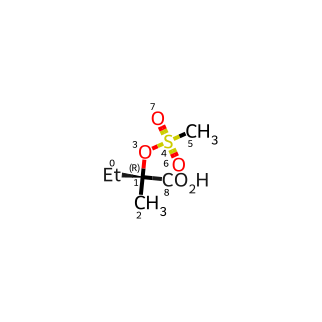 CC[C@@](C)(OS(C)(=O)=O)C(=O)O